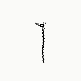 CCCCCCCCCCCCCCCCCCCCCCOc1cc(CO)cc(OC)c1